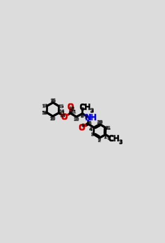 Cc1ccc(C(=O)NC(C)CC(=O)OC2CCCCC2)cc1